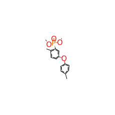 COP(=O)(OC)c1cc(Oc2ccc(C)cc2)ccc1C